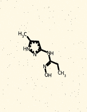 CCC(=NO)Nc1cc(C)[nH]n1